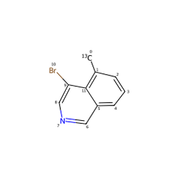 [13CH3]c1cccc2cncc(Br)c12